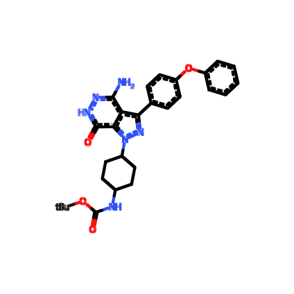 CC(C)(C)OC(=O)NC1CCC(n2nc(-c3ccc(Oc4ccccc4)cc3)c3c(N)n[nH]c(=O)c32)CC1